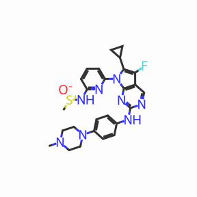 CN1CCN(c2ccc(Nc3ncc4c(F)c(C5CC5)n(-c5cccc(N[S+](C)[O-])n5)c4n3)cc2)CC1